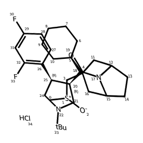 C[S+]([O-])CC1(C2CCCCC2)CC2CCC(C1)N2C(=O)[C@H]1CN(C(C)(C)C)C[C@H]1c1ccc(F)cc1F.Cl